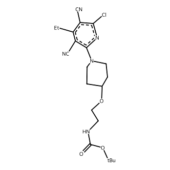 CCc1c(C#N)c(Cl)nc(N2CCC(OCCNC(=O)OC(C)(C)C)CC2)c1C#N